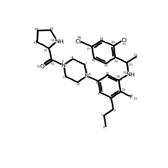 CCCc1cc(N2CCN(C(=O)C3CCCN3)CC2)cc(NC(C)c2ccc(Cl)cc2Cl)c1F